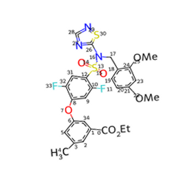 CCOC(=O)c1cc(C)cc(Oc2cc(F)c(S(=O)(=O)N(Cc3ccc(OC)cc3OC)c3ncns3)cc2F)c1